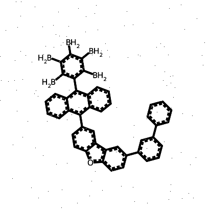 Bc1c(B)c(B)c(-c2c3ccccc3c(-c3ccc4oc5ccc(-c6cccc(-c7ccccc7)c6)cc5c4c3)c3ccccc23)c(B)c1B